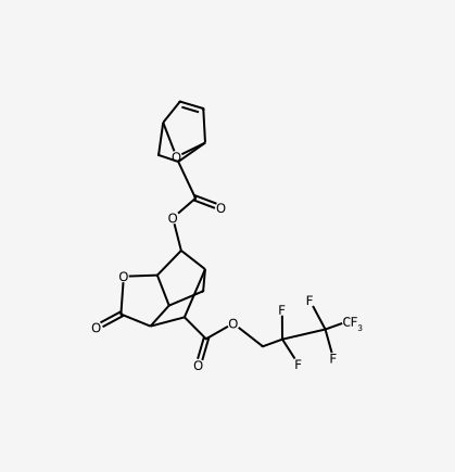 O=C(OC1C2CC3C1OC(=O)C3C2C(=O)OCC(F)(F)C(F)(F)C(F)(F)F)C1CC2C=CC1O2